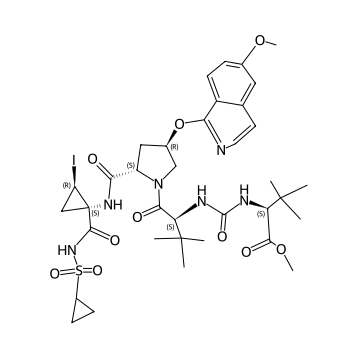 COC(=O)[C@@H](NC(=O)N[C@H](C(=O)N1C[C@H](Oc2nccc3cc(OC)ccc23)C[C@H]1C(=O)N[C@]1(C(=O)NS(=O)(=O)C2CC2)C[C@H]1I)C(C)(C)C)C(C)(C)C